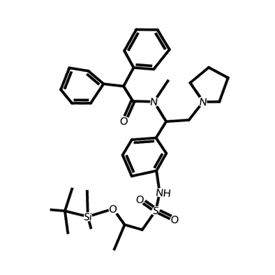 CC(CS(=O)(=O)Nc1cccc(C(CN2CCCC2)N(C)C(=O)C(c2ccccc2)c2ccccc2)c1)O[Si](C)(C)C(C)(C)C